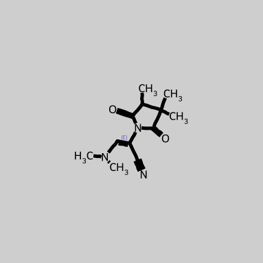 CC1C(=O)N(/C(C#N)=C/N(C)C)C(=O)C1(C)C